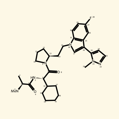 CN[C@@H](C)C(=O)N[C@H](C(=O)N1CCC[C@H]1CCn1cc(-c2ccnn2C)c2cc(F)ccc21)C1CCCCC1